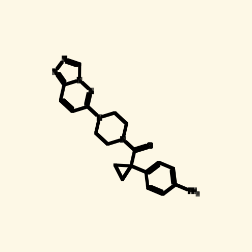 O=C(N1CCN(c2ccc3nncn3n2)CC1)C1(c2ccc(P)cc2)CC1